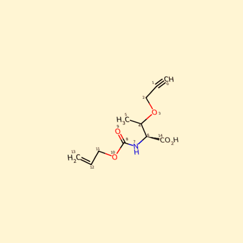 C#CCOC(C)[C@H](NC(=O)OCC=C)C(=O)O